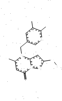 CCOc1cc2n(Cc3cnc(Cl)c(F)c3)c(C)cc(=O)n2n1